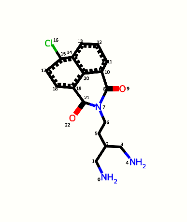 NCC(CN)CCN1C(=O)c2cccc3c(Cl)ccc(c23)C1=O